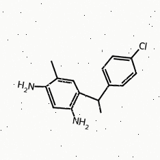 Cc1cc(C(C)c2ccc(Cl)cc2)c(N)cc1N